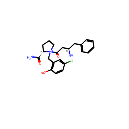 NC(=O)[C@@H]1CCC[N+]1(Cc1cc(Cl)ccc1O)C(=O)C[C@H](N)Cc1ccccc1